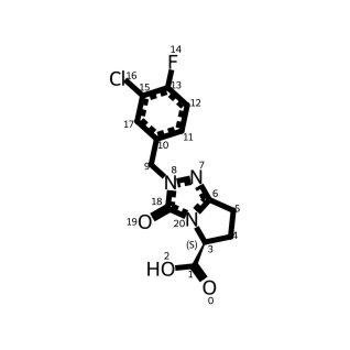 O=C(O)[C@@H]1CCc2nn(Cc3ccc(F)c(Cl)c3)c(=O)n21